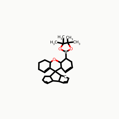 CC1(C)OB(C2CC=CC3C2OC2CCCC=C2C32C3CCC=CC3C3C=CCCC32)OC1(C)C